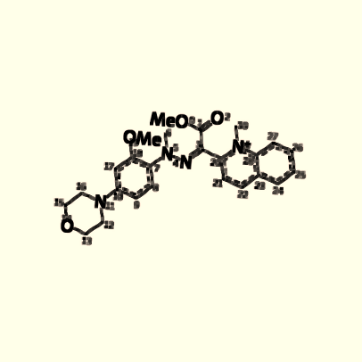 COC(=O)/C(=N\N(C)c1ccc(N2CCOCC2)cc1OC)c1ccc2ccccc2[n+]1C